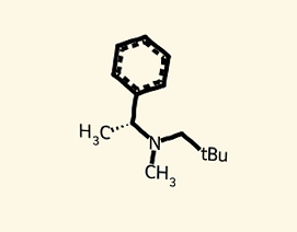 C[C@H](c1ccccc1)N(C)CC(C)(C)C